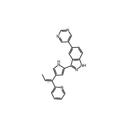 C/C=C(\c1c[nH]c(-c2n[nH]c3ccc(-c4cncnc4)cc23)c1)c1ccccn1